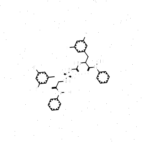 CN(C(=O)C(Cc1cc(F)cc(F)c1)NC(=O)NS(=O)(=O)N[C@@H](Cc1cc(F)cc(F)c1)C(=O)N(C)c1ccccc1)c1ccccc1